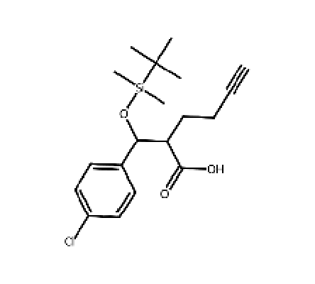 C#CCCC(C(=O)O)C(O[Si](C)(C)C(C)(C)C)c1ccc(Cl)cc1